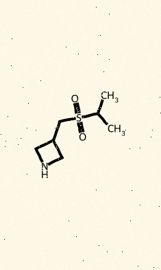 CC(C)S(=O)(=O)CC1CNC1